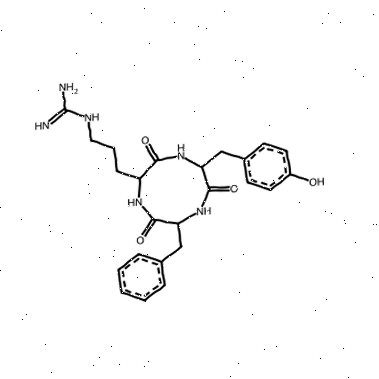 N=C(N)NCCCC1NC(=O)C(Cc2ccccc2)NC(=O)C(Cc2ccc(O)cc2)NC1=O